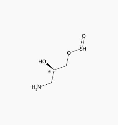 NC[C@@H](O)CO[SH]=O